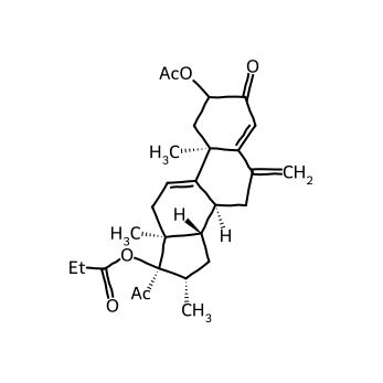 C=C1C[C@@H]2C(=CC[C@@]3(C)[C@H]2C[C@H](C)[C@]3(OC(=O)CC)C(C)=O)[C@@]2(C)CC(OC(C)=O)C(=O)C=C12